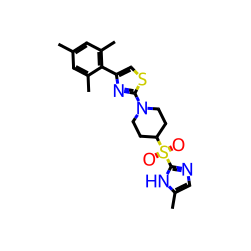 Cc1cc(C)c(-c2csc(N3CCC(S(=O)(=O)c4ncc(C)[nH]4)CC3)n2)c(C)c1